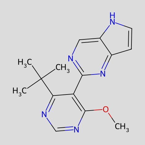 COc1ncnc(C(C)(C)C)c1-c1ncc2[nH]ccc2n1